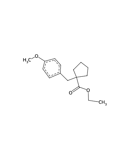 CCOC(=O)C1(Cc2ccc(OC)cc2)CCCC1